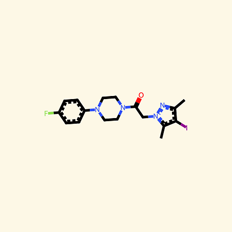 Cc1nn(CC(=O)N2CCN(c3ccc(F)cc3)CC2)c(C)c1I